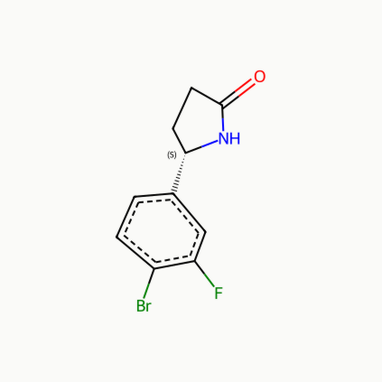 O=C1CC[C@@H](c2ccc(Br)c(F)c2)N1